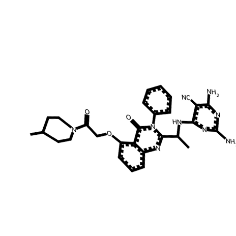 CC1CCN(C(=O)COc2cccc3nc(C(C)Nc4nc(N)nc(N)c4C#N)n(-c4ccccc4)c(=O)c23)CC1